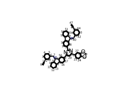 C#Cc1cccc(/C=C2\c3ccccc3-c3ccc(-c4cc(-c5ccc6c(c5)OCO6)nc(-c5ccc6c(c5)/C(=C/c5cccc(C#C)c5)c5ccccc5-6)n4)cc32)c1